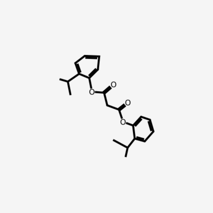 CC(C)c1ccccc1OC(=O)CC(=O)Oc1ccccc1C(C)C